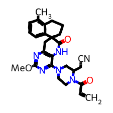 C=CC(=O)N1CCN(c2nc(OC)nc3c2NC(=O)C2(CCCc4c(C)cccc42)C3)CC1CC#N